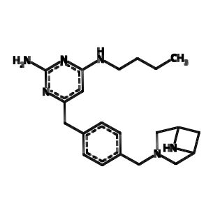 CCCCNc1cc(Cc2ccc(CN3CC4CC(C3)N4)cc2)nc(N)n1